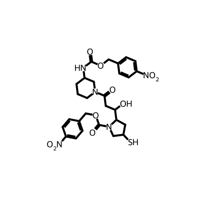 O=C(NC1CCCN(C(=O)CC(O)C2CC(S)CN2C(=O)OCc2ccc([N+](=O)[O-])cc2)C1)OCc1ccc([N+](=O)[O-])cc1